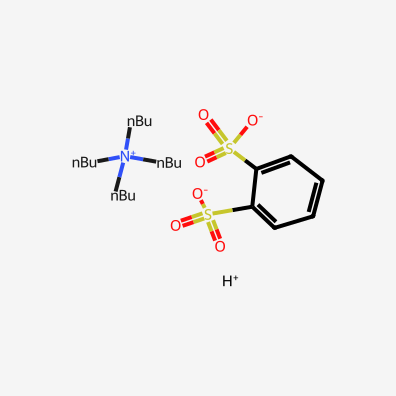 CCCC[N+](CCCC)(CCCC)CCCC.O=S(=O)([O-])c1ccccc1S(=O)(=O)[O-].[H+]